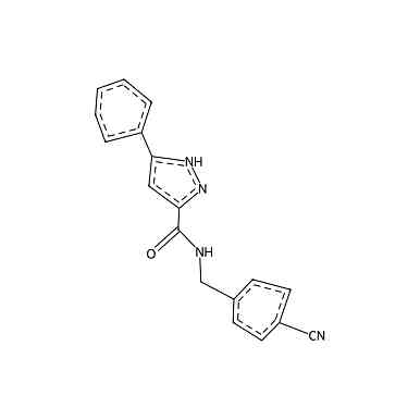 N#Cc1ccc(CNC(=O)c2cc(-c3ccccc3)[nH]n2)cc1